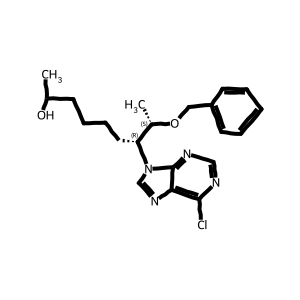 CC(O)CCCC[C@H]([C@H](C)OCc1ccccc1)n1cnc2c(Cl)ncnc21